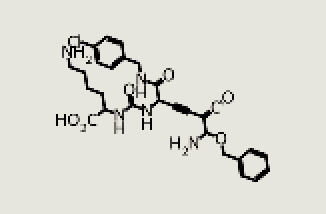 NCCCCC(NC(=O)NC(C#CC(=C=O)C(N)OCc1ccccc1)C(=O)NCc1ccc(Cl)cc1)C(=O)O